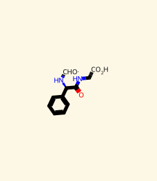 O=[C]N[C@@H](C(=O)NCC(=O)O)c1ccccc1